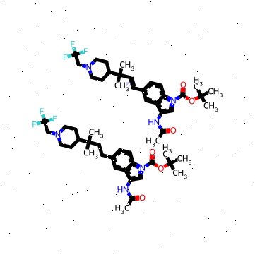 CC(=O)Nc1cn(C(=O)OC(C)(C)C)c2ccc(/C=C/C(C)(C)C3CCN(CC(F)(F)F)CC3)cc12.CC(=O)Nc1cn(C(=O)OC(C)(C)C)c2ccc(CCC(C)(C)C3CCN(CC(F)(F)F)CC3)cc12